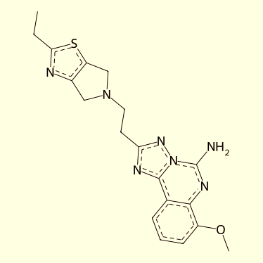 CCc1nc2c(s1)CN(CCc1nc3c4cccc(OC)c4nc(N)n3n1)C2